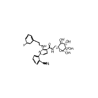 N#Cc1ccccc1-c1ccc(C(=O)NC[C@H]2O[C@@H](O)[C@H](O)[C@@H](O)[C@@H]2O)c(NCCc2cccc(F)c2)n1